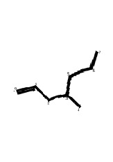 [CH]=CCC(C)CCC